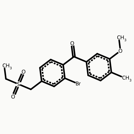 CCS(=O)(=O)Cc1ccc(C(=O)c2ccc(C)c(OC)c2)c(Br)c1